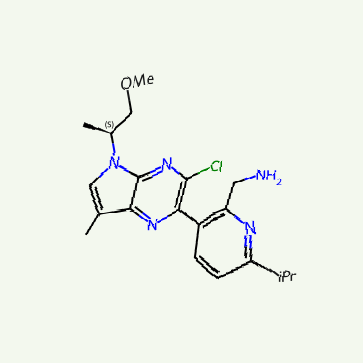 COC[C@H](C)n1cc(C)c2nc(-c3ccc(C(C)C)nc3CN)c(Cl)nc21